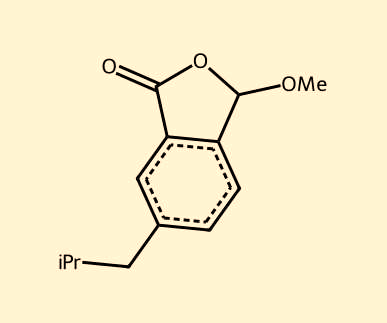 COC1OC(=O)c2cc(CC(C)C)ccc21